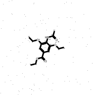 CCOC(=O)c1cc(OCC)c(NC(C)=O)c(OCC)c1